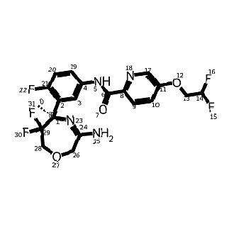 C[C@]1(c2cc(NC(=O)c3ccc(OCC(F)F)cn3)ccc2F)N=C(N)COCC1(F)F